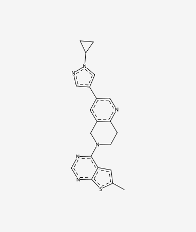 Cc1cc2c(N3CCc4ncc(-c5cnn(C6CC6)c5)cc4C3)ncnc2s1